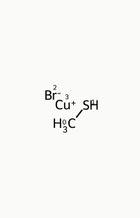 CS.[Br-].[Cu+]